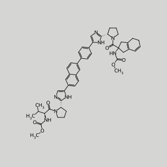 COC(=O)N[C@H](C(=O)N1CCC[C@H]1c1ncc(-c2ccc3cc(-c4ccc(-c5cnc([C@@H]6CCCN6C(=O)C6(NC(=O)OC)CC7=C(CCC=C7)C6)[nH]5)cc4)ccc3c2)[nH]1)C(C)C